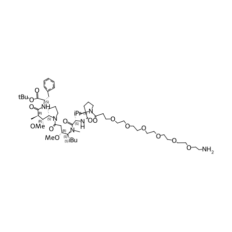 CC[C@H](C)[C@@H]([C@@H](CC(=O)N1CCC[C@H]1[C@H](OC)[C@@H](C)C(=O)N[C@@H](Cc1ccccc1)C(=O)OC(C)(C)C)OC)N(C)C(=O)[C@@H](NC(=O)[C@]1(C)CCCN1C(=O)CCOCCOCCOCCOCCOCCOCCN)C(C)C